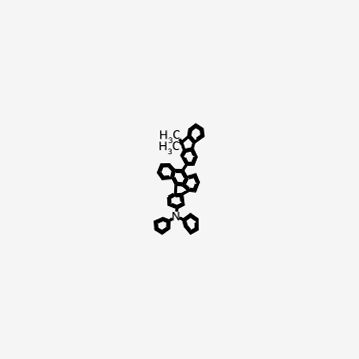 CC1(C)c2ccccc2-c2ccc(-c3c4ccccc4c4c5c(cccc35)-c3cc(N(c5ccccc5)c5ccccc5)ccc3-4)cc21